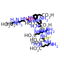 CC(C)C(N)C(=O)O.N=C(N)NCCCC(N)C(=O)O.N=C(N)NCCCC(N)C(=O)O.NC(CS)C(=O)O.NC(Cc1ccc(O)cc1)C(=O)O.NCC(=O)O.NCC(=O)O.NCCCCC(N)C(=O)O.O=C(O)[C@@H]1CCCN1